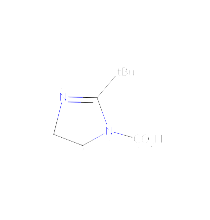 CC(C)(C)C1=NCCN1C(=O)O